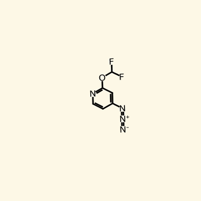 [N-]=[N+]=Nc1ccnc(OC(F)F)c1